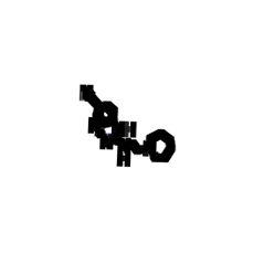 N#C/N=C(/NCCN1CCCCCC1)Nc1ccc(C#N)cc1